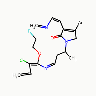 C=C/C(Cl)=C(\N=C/CC(C)N1CC(C(C)=O)=C(/C=C\N=C)C1=O)OCCF